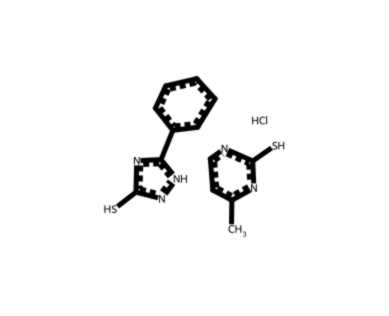 Cc1ccnc(S)n1.Cl.Sc1n[nH]c(-c2ccccc2)n1